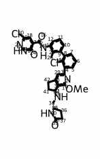 COc1nc(-c2cccc(-c3cccc(NC(=O)c4cc(Cl)n[nH]c4=O)c3C)c2Cl)cc2c1[C@@H](NC[C@@H]1CCC(=O)N1)CC2